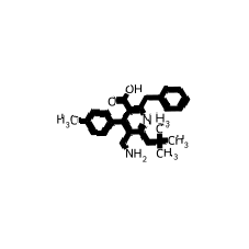 Cc1ccc(-c2c(CN)c(CC(C)(C)C)nc(Cc3ccccc3)c2C(=O)O)cc1